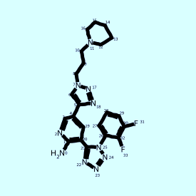 Nc1ncc(-c2cn(CCCN3CCCCC3)nn2)cc1-c1nnnn1-c1cccc(F)c1F